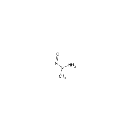 CN(N)N=O